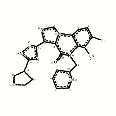 N#Cc1c(F)ccc2c1n(Cc1ccccn1)c(=O)c1c(-c3nc(C4CCOC4)no3)ncn12